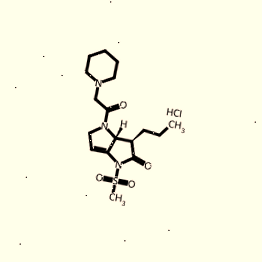 CCC[C@H]1C(=O)N(S(C)(=O)=O)C2=CCN(C(=O)CN3CCCCC3)[C@@H]21.Cl